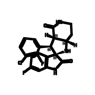 O=C1NCC[C@@H]2N[C@@]3(C(=O)Nc4cc(I)ccc43)[C@@H](c3cccc(Cl)c3F)[C@H]12